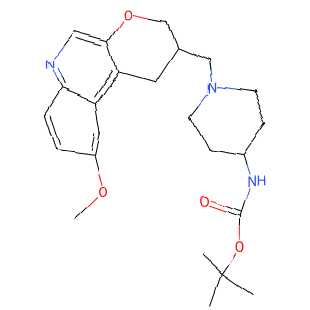 COc1ccc2ncc3c(c2c1)CC(CN1CCC(NC(=O)OC(C)(C)C)CC1)CO3